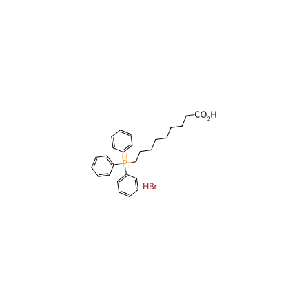 Br.O=C(O)CCCCCCCC[PH](c1ccccc1)(c1ccccc1)c1ccccc1